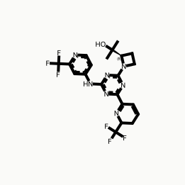 CC(C)(O)[C@H]1CCN1c1nc(Nc2ccnc(C(F)(F)F)c2)nc(C2=NC(C(F)(F)F)CC=C2)n1